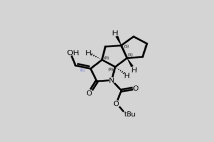 CC(C)(C)OC(=O)N1C(=O)/C(=C/O)[C@H]2C[C@@H]3CCC[C@@H]3[C@H]21